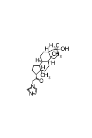 C[C@@]1(O)CC[C@@]2(C)[C@@H](CC[C@@H]3[C@@H]2CC[C@]2(C)[C@@H](C(=O)Cn4ccnc4)CC[C@@H]32)C1